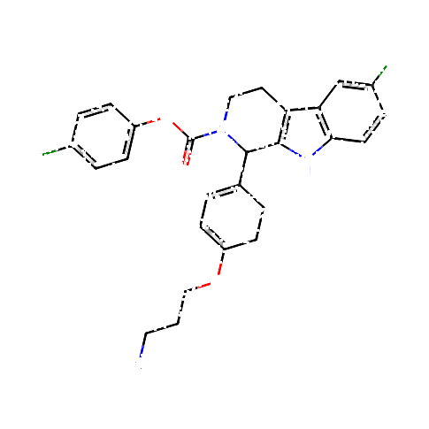 NCCCOC1=CC=C(C2c3[nH]c4ccc(Cl)cc4c3CCN2C(=O)Oc2ccc(Cl)cc2)CC1